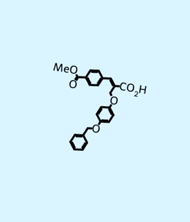 COC(=O)c1ccc(C=C(COc2ccc(OCc3ccccc3)cc2)C(=O)O)cc1